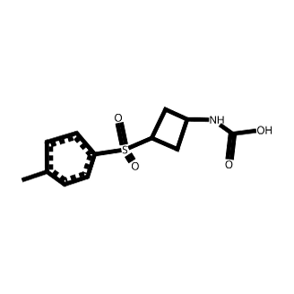 Cc1ccc(S(=O)(=O)C2CC(NC(=O)O)C2)cc1